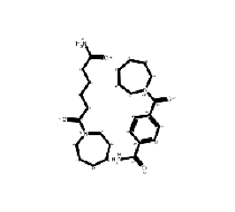 NC(=O)CCCCC(=O)N1CCCCCC1.NC(=O)c1ccc(C(=O)N2CCCCCC2)cc1